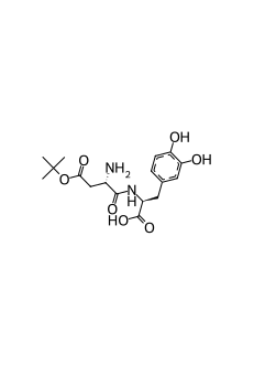 CC(C)(C)OC(=O)C[C@H](N)C(=O)N[C@@H](Cc1ccc(O)c(O)c1)C(=O)O